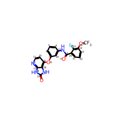 O=C(Nc1cccc(Oc2ccnc3[nH]c(=O)[nH]c23)c1)c1cccc(OC(F)(F)F)c1F